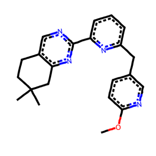 COc1ccc(Cc2cccc(-c3ncc4c(n3)CC(C)(C)CC4)n2)cn1